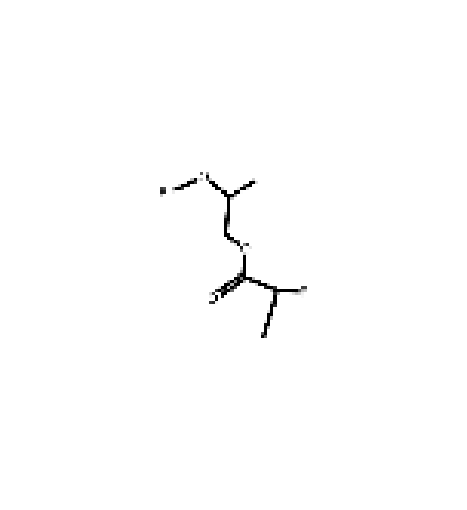 CCOC(C)COC(=O)C(C)F